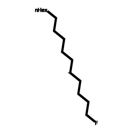 CCCCCCCCCCC[CH]CCCCF